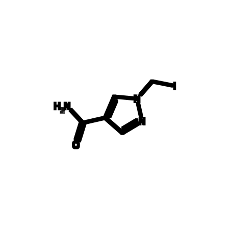 NC(=O)c1cnn(CI)c1